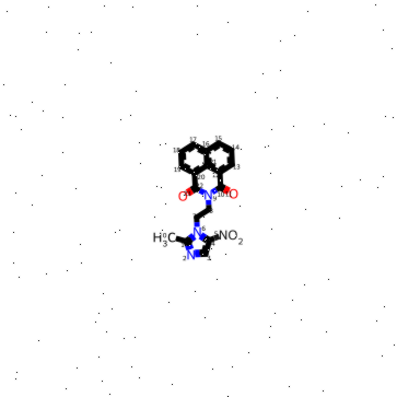 Cc1ncc([N+](=O)[O-])n1CCN1C(=O)c2cccc3cccc(c23)C1=O